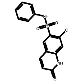 O=c1[c]cc2cc(S(=O)(=O)Nc3ccccc3)c(Cl)cc2[nH]1